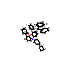 c1ccc(-c2ccc(N(c3ccc([Si](c4ccccc4)(c4ccccc4)c4ccccc4)cc3)c3cccc4c3oc3ccccc34)cc2)cc1